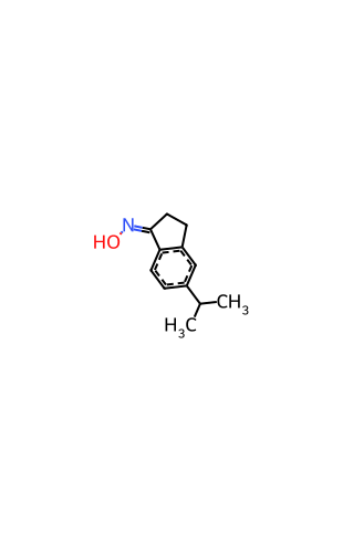 CC(C)c1ccc2c(c1)CC/C2=N/O